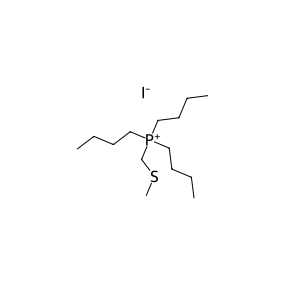 CCCC[P+](CCCC)(CCCC)CSC.[I-]